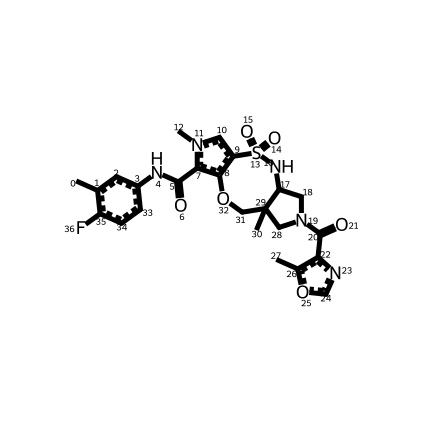 Cc1cc(NC(=O)c2c3c(cn2C)S(=O)(=O)NC2CN(C(=O)c4ncoc4C)CC2(C)CO3)ccc1F